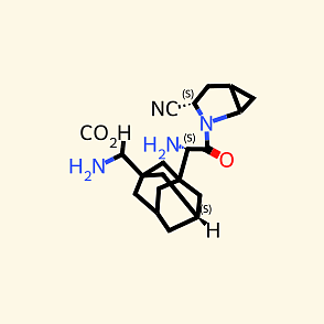 N#C[C@@H]1CC2CC2N1C(=O)[C@@H](N)C12CC3C[C@H](CC(C(N)C(=O)O)(C3)C1)C2